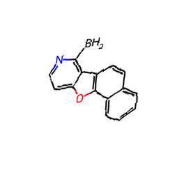 Bc1nccc2oc3c4ccccc4ccc3c12